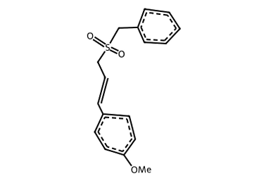 COc1ccc(/C=C/CS(=O)(=O)Cc2ccccc2)cc1